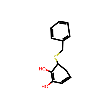 OC1=C(O)C(SCc2ccccc2)[C]C=C1